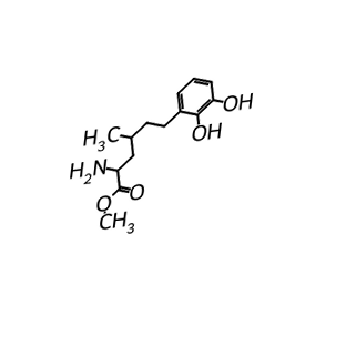 COC(=O)C(N)CC(C)CCc1cccc(O)c1O